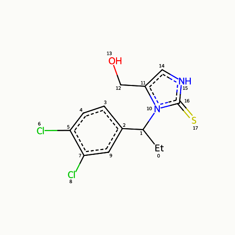 CCC(c1ccc(Cl)c(Cl)c1)n1c(CO)c[nH]c1=S